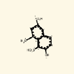 Nc1cc(S(=O)(=O)O)cc2ccc(O)c(S(=O)(=O)O)c12